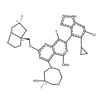 COc1nc(-c2c(C3CC3)c(Cl)cc3[nH]ncc23)c(F)c2nc(OC[C@@]34CCCN3C[C@H](F)C4)nc(N3CCOC[C@@](C)(O)C3)c12